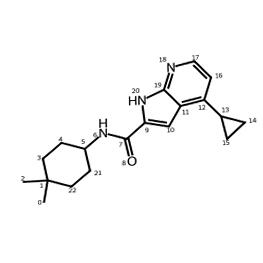 CC1(C)CCC(NC(=O)c2cc3c(C4CC4)ccnc3[nH]2)CC1